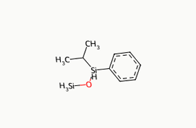 CC(C)[SiH](O[SiH3])c1ccccc1